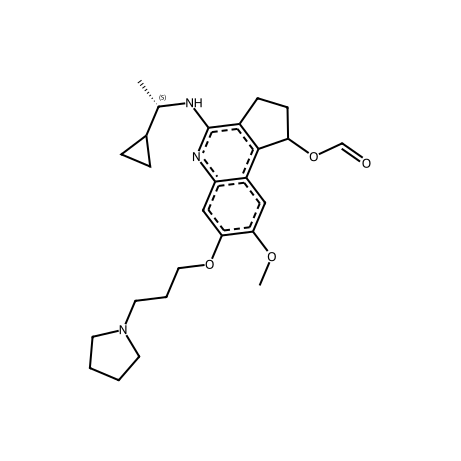 COc1cc2c3c(c(N[C@@H](C)C4CC4)nc2cc1OCCCN1CCCC1)CCC3OC=O